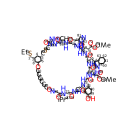 CCSCc1cc2cc(c1)OCCCCCCO/N=C/C(=O)N[C@@H](CC(C)C)C(=O)NCC(=O)N[C@@H](Cc1ccc(O)cc1)C(=O)N[C@@H](CCC(=O)OOC)C(=O)N[C@@H](Cc1c[nH]c3ccccc13)C(=O)N[C@H](CCC(=O)OOC)C(=O)N[C@@H](Cc1cnc[nH]1)C(=O)N[C@@H](C)C(=O)N[C@H](C(N)=O)CSC2